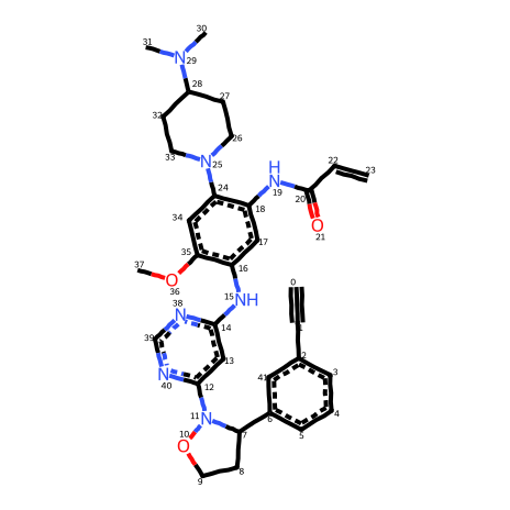 C#Cc1cccc(C2CCON2c2cc(Nc3cc(NC(=O)C=C)c(N4CCC(N(C)C)CC4)cc3OC)ncn2)c1